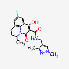 Cc1nn(C)cc1CNC(=O)c1c(O)c2cc(F)cc3c2n(c1=O)C(C)CC3